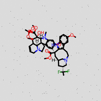 CC[C@]12C=CCN3CC[C@@]4(c5cc([C@@]6(C(=O)OC)C[C@@H]7C[C@@H](C(C)(F)F)C[N@](CCc8c6[nH]c6ccc(OC)cc86)C7)c(OC)cc5N(C)[C@H]4[C@@](O)(C(=O)OC)[C@@H]1OC(C)=O)[C@@H]32